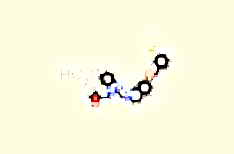 O=C(O)c1ccc2nc(CN3CCc4ccc(OCc5cccc(F)c5)cc4C3)n(C[C@@H]3CCO3)c2c1